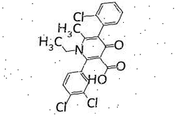 CCn1c(C)c(-c2ccccc2Cl)c(=O)c(C(=O)O)c1-c1ccc(Cl)c(Cl)c1